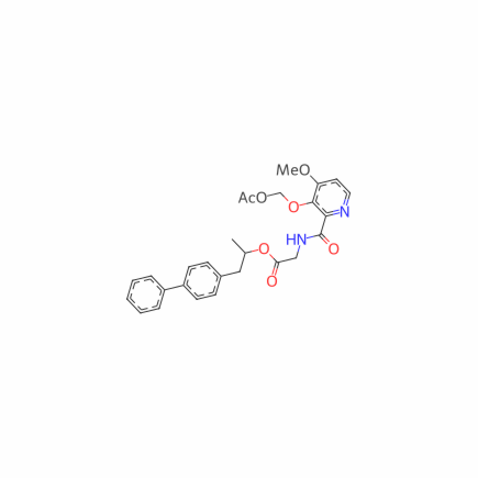 COc1ccnc(C(=O)NCC(=O)OC(C)Cc2ccc(-c3ccccc3)cc2)c1OCOC(C)=O